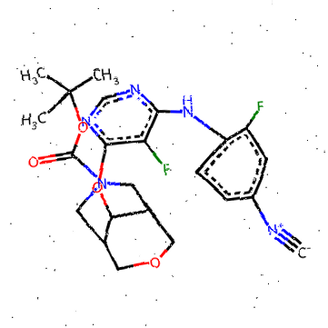 [C-]#[N+]c1ccc(Nc2ncnc(OC3C4COCC3CN(C(=O)OC(C)(C)C)C4)c2F)c(F)c1